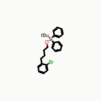 CC(C)(C)[Si](OCCCCc1ccccc1Br)(c1ccccc1)c1ccccc1